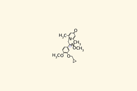 CO/N=C(/Cn1c(C)cc(=O)cc1C)c1ccc(OC)c(OCC2CC2)c1